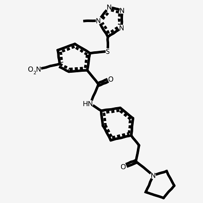 Cn1nnnc1Sc1ccc([N+](=O)[O-])cc1C(=O)Nc1ccc(CC(=O)N2CCCC2)cc1